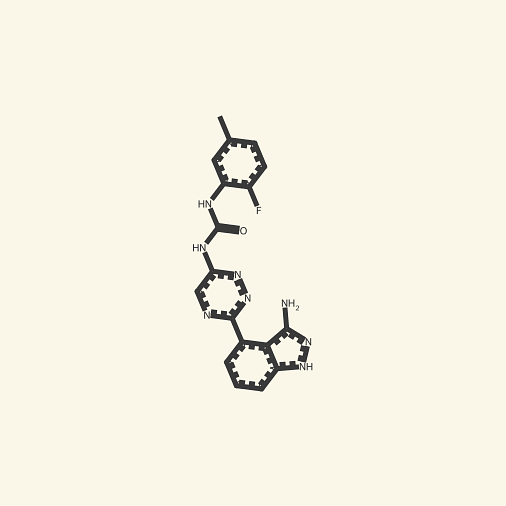 Cc1ccc(F)c(NC(=O)Nc2cnc(-c3cccc4[nH]nc(N)c34)nn2)c1